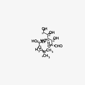 CCC(O)Cl.CN(C)C.O=C[C@H](O)[C@@H](O)[C@H](O)[C@H](O)CO